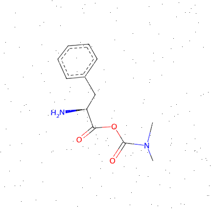 CN(C)C(=O)OC(=O)[C@@H](N)Cc1ccccc1